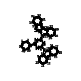 c1ccc(-c2nc(-n3c4ccccc4c4ccccc43)nc(-n3c4ccccc4c4c5ccccc5sc43)n2)cc1